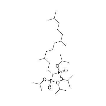 CC(C)CCCC(C)CCCC(C)CCC(P(=O)(OC(C)C)OC(C)C)P(=O)(OC(C)C)OC(C)C